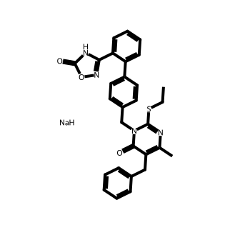 CCSc1nc(C)c(Cc2ccccc2)c(=O)n1Cc1ccc(-c2ccccc2-c2noc(=O)[nH]2)cc1.[NaH]